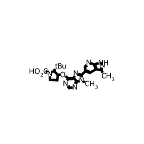 Cc1n[nH]c2ncc(-c3nc4c(OC5CCN(C(=O)O)C5C(C)(C)C)ncnc4n3C)cc12